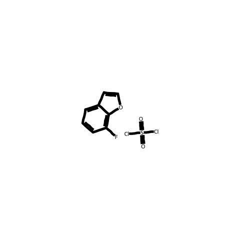 Fc1cccc2ccoc12.O=S(=O)(Cl)Cl